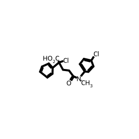 CN(C(=O)CCC(Cl)(C(=O)O)c1ccccc1)c1ccc(Cl)cc1